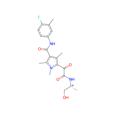 Cc1cc(NC(=O)c2c(C)c(C(=O)C(=O)N[C@H](C)CO)n(C)c2C)ccc1F